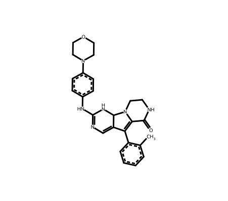 Cc1ccccc1C1=C2C(=O)NCCN2C2NC(Nc3ccc(N4CCOCC4)cc3)=NC=C12